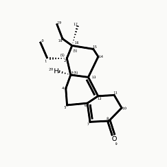 CC[C@H]1[C@@H]2CCC3=CC(=O)CCC3=C2CC[C@]1(C)CC